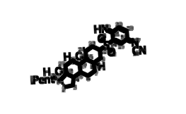 CCC[C@@H](C)[C@H]1CCC2C3CC[C@@H]4CC(S(=O)(=O)C5=CC(=NC#N)C=CC5=N)CC[C@]4(C)C3CC[C@@]21C